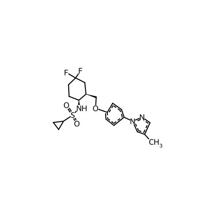 Cc1cnn(-c2ccc(OC[C@@H]3CC(F)(F)CC[C@@H]3NS(=O)(=O)C3CC3)cc2)c1